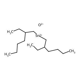 CCCCC(CC)[CH2][Sn+2][CH2]C(CC)CCCC.[O-2]